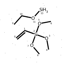 C=C[Si](OC)(OC)OC.CCO[SiH3]